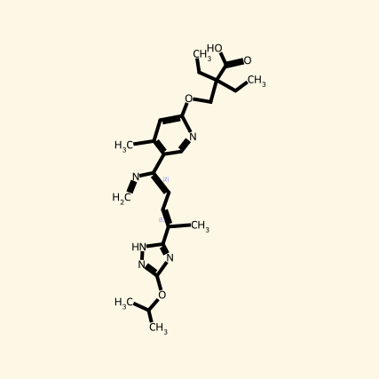 C=N/C(=C\C=C(/C)c1nc(OC(C)C)n[nH]1)c1cnc(OCC(CC)(CC)C(=O)O)cc1C